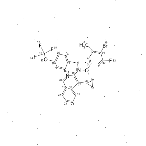 Cc1cc(ON(Cc2ccc(OC(F)(F)F)cc2)c2ncc3ccccc3c2C2CC2)cc(F)c1Br